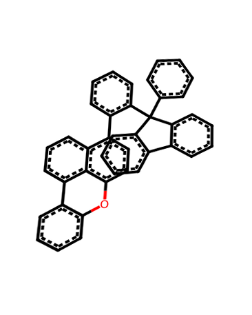 c1ccc(C2(c3ccccc3-c3ccc4c5c(cccc35)-c3ccccc3O4)c3ccccc3-c3ccccc32)cc1